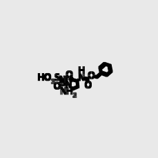 N[P@](=O)(NS(=O)(=O)O)N1CC[C@H](NC(=O)OCc2ccccc2)C1=O